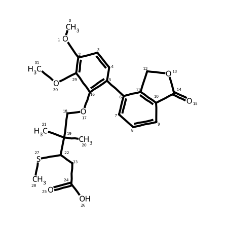 COc1ccc(-c2cccc3c2COC3=O)c(OCC(C)(C)C(CC(=O)O)SC)c1OC